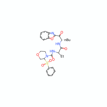 CCCC[C@H](NC(=O)C(CC)NC(=O)N1CCOCC1S(=O)(=O)c1ccccc1)C(=O)c1nc2ccccc2o1